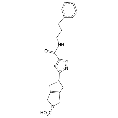 O=C(NCCCc1ccccc1)c1cnc(N2CC3=C(CN(C(=O)O)C3)C2)s1